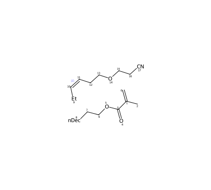 C=C(C)C(=O)OCCCCCCCCCCCC.CC/C=C\CCOCCC#N